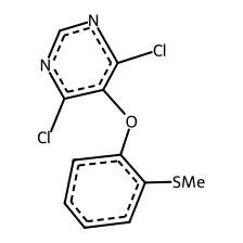 CSc1ccccc1Oc1c(Cl)ncnc1Cl